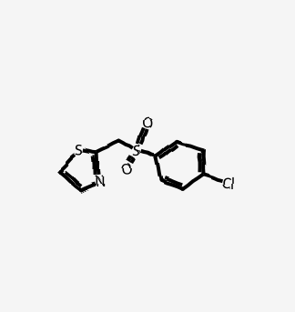 O=S(=O)(Cc1nccs1)c1ccc(Cl)cc1